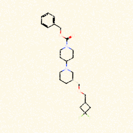 O=C(OCc1ccccc1)N1CCC(N2CCC[C@@H](COCC3CC(F)(F)C3)C2)CC1